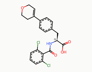 O=C(N[C@@H](Cc1ccc(C2=CCOCC2)cc1)C(=O)O)c1c(Cl)cccc1Cl